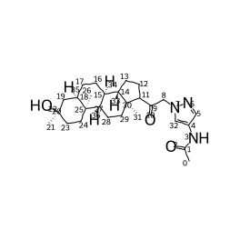 CC(=O)Nc1cnn(CC(=O)C2CC[C@H]3[C@@H]4CC[C@@H]5C[C@](C)(O)CC[C@]5(C)[C@H]4CC[C@]23C)c1